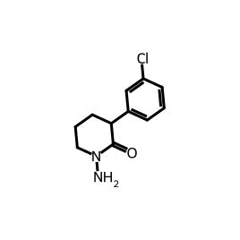 NN1CCCC(c2cccc(Cl)c2)C1=O